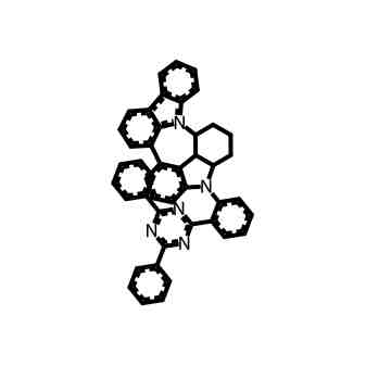 c1ccc(-c2nc(-c3ccccc3)nc(-c3ccccc3N3c4cccc5c4C4C3CCCC4n3c4ccccc4c4cccc-5c43)n2)cc1